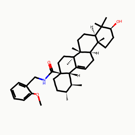 COc1ccccc1CNC(=O)[C@]12CC[C@@H](C)[C@H](C)[C@H]1C1=CC[C@@H]3[C@@]4(C)CC[C@H](O)C(C)(C)[C@@H]4CC[C@@]3(C)[C@]1(C)CC2